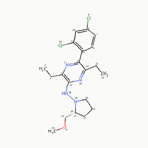 CCc1nc(-c2ccc(Cl)cc2Cl)c(CC)nc1NN1CCC[C@@H]1COC